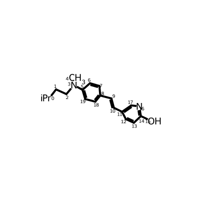 CC(C)CCN(C)c1ccc(/C=C/c2ccc(O)nc2)cc1